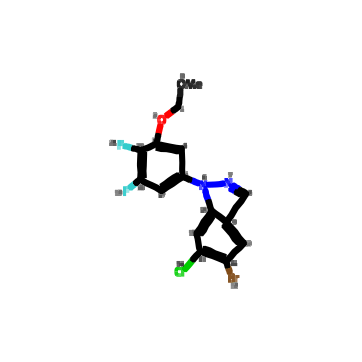 COCOc1cc(-n2ncc3cc(Br)c(Cl)cc32)cc(F)c1F